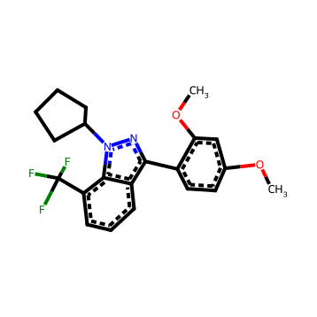 COc1ccc(-c2nn(C3CCCC3)c3c(C(F)(F)F)cccc23)c(OC)c1